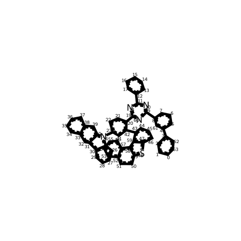 c1ccc(-c2cccc(-c3nc(-c4ccccc4)nc(-c4ccc(-n5c6ccccc6c6cc7ccccc7cc65)cc4-c4cccc5sc6ccc7ccccc7c6c45)n3)c2)cc1